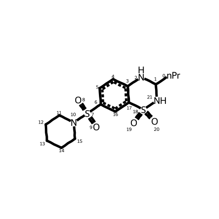 CCCC1Nc2ccc(S(=O)(=O)N3CCCCC3)cc2S(=O)(=O)N1